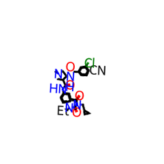 CCn1c(=O)n(CC2CC2)c(=O)c2cc(NC(=O)C3CN(C)CC3NC(=O)c3ccc(C#N)c(Cl)c3)ccc21